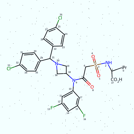 CC(C)C(NS(=O)(=O)CC(=O)N(c1cc(F)cc(F)c1)C1CN(C(c2ccc(Cl)cc2)c2ccc(Cl)cc2)C1)C(=O)O